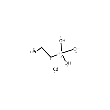 CCCCC[PH](O)(O)O.[Cd]